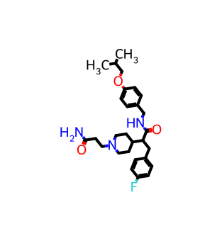 CC(C)COc1ccc(CNC(=O)C(Cc2ccc(F)cc2)C2CCN(CCC(N)=O)CC2)cc1